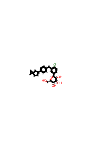 OC[C@H]1OC(c2ccc(Cl)c(Cc3ccc(C4CCC5(CC5)C4)cc3)c2)[C@H](O)[C@@H](O)[C@@H]1O